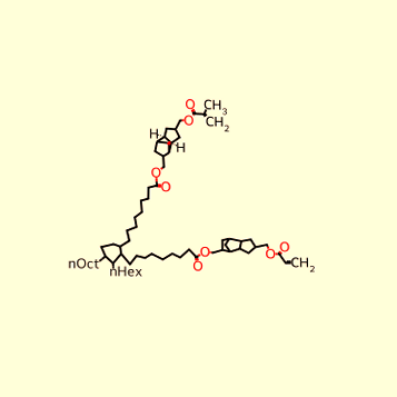 C=CC(=O)OCC1CC2C3CC(COC(=O)CCCCCCCCC4C(CCCCCCCCC(=O)OCC5CC6CC5[C@@H]5CC(COC(=O)C(=C)C)C[C@H]65)CCC(CCCCCCCC)C4CCCCCC)C(C3)C2C1